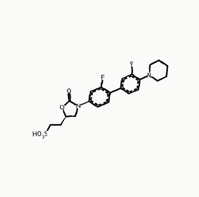 O=C1O[C@H](CCS(=O)(=O)O)CN1c1ccc(-c2ccc(N3CCCCC3)c(F)c2)c(F)c1